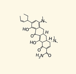 C/C=C\C(CC)c1cc(N(C)C)c2c(c1O)C(=O)C1=C(O)C3C(=O)C(C(N)=O)=C[C@@H](N(C)C)[C@@H]3C[C@@H]1C2